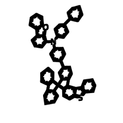 c1ccc(-c2ccc(N(c3ccc(-c4ccc5c(c4)C4(c6ccccc6-c6ccccc64)c4ccc6sc7ccccc7c6c4-5)cc3)c3cccc4c3oc3ccccc34)cc2)cc1